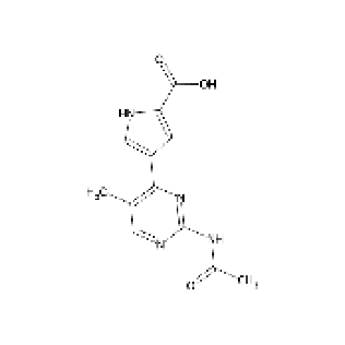 CC(=O)Nc1ncc(C)c(-c2c[nH]c(C(=O)O)c2)n1